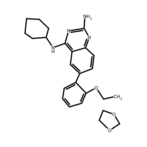 C1COCO1.CCOc1ccccc1-c1ccc2nc(N)nc(NC3CCCCC3)c2c1